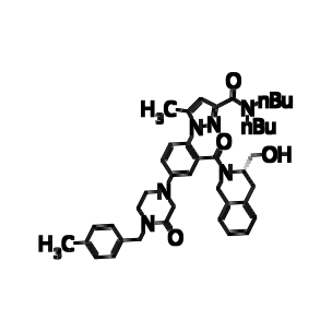 CCCCN(CCCC)C(=O)c1cc(C)n(-c2ccc(N3CCN(Cc4ccc(C)cc4)C(=O)C3)cc2C(=O)N2Cc3ccccc3C[C@H]2CO)n1